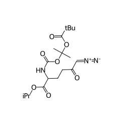 CC(C)OC(=O)C(CCC(=O)C=[N+]=[N-])NC(=O)OC(C)(C)OC(=O)C(C)(C)C